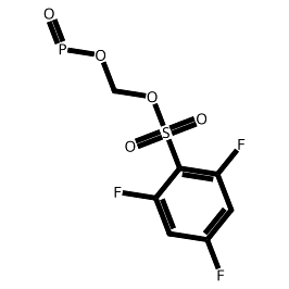 O=POCOS(=O)(=O)c1c(F)cc(F)cc1F